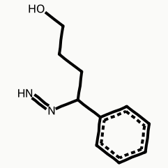 N=NC(CCCO)c1ccccc1